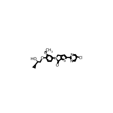 COc1cc(N2Cc3cc(-c4ncc(Cl)cn4)sc3C2=O)ccc1OC[C@H](O)C1CC1